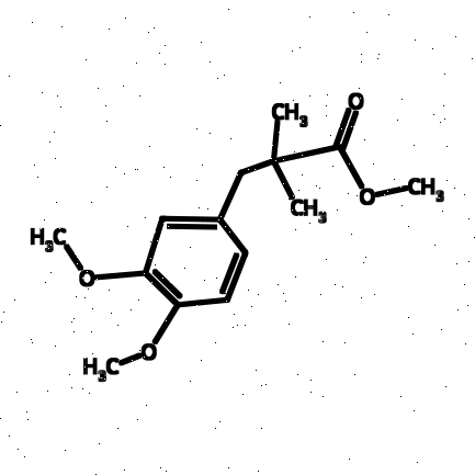 COC(=O)C(C)(C)Cc1ccc(OC)c(OC)c1